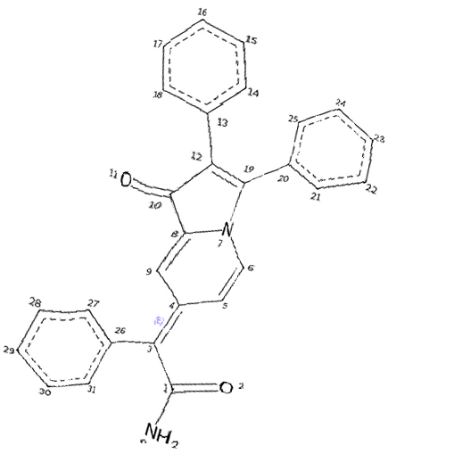 NC(=O)/C(=C1\C=CN2C(=C1)C(=O)C(c1ccccc1)=C2c1ccccc1)c1ccccc1